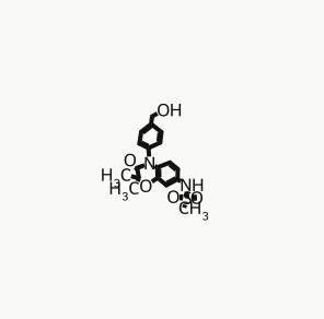 CC1(C)Oc2cc(NS(C)(=O)=O)ccc2N(c2ccc(CO)cc2)C1=O